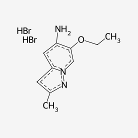 Br.Br.CCOc1cn2nc(C)cc2cc1N